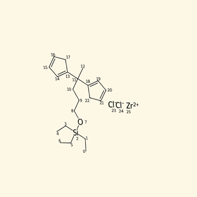 CC[Si](CC)(CC)OCCCC(C)(C1=CC=CC1)C1=CC=CC1.[Cl-].[Cl-].[Zr+2]